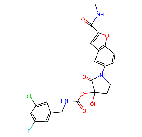 CNC(=O)c1cc2cc(N3CCC(O)(OC(=O)NCc4cc(F)cc(Cl)c4)C3=O)ccc2o1